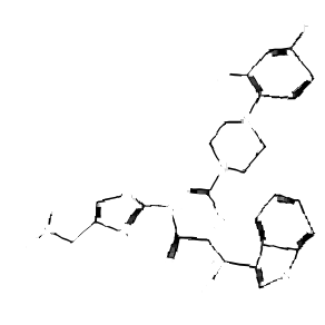 Cc1cc(F)ccc1N1CCN(C(=O)N[C@@H](C(=O)Nc2nc(CN(C)C)cs2)[C@H](C)c2c[nH]c3ccccc23)CC1